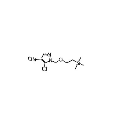 C[Si](C)(C)CCOCn1ncc(N=O)c1Cl